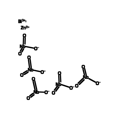 [Bi+3].[O]=[Nb](=[O])[O-].[O]=[Nb](=[O])[O-].[O]=[Nb](=[O])[O-].[O]=[Nb](=[O])[O-].[O]=[Nb](=[O])[O-].[Zn+2]